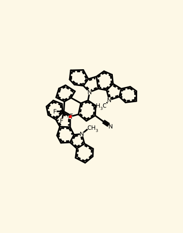 Cn1c2ccccc2c2ccc3c4ccccc4n(-c4cc(C#N)cc(-n5c6ccccc6c6ccc7c8ccccc8n(C)c7c65)c4-c4ccccc4C(F)(F)F)c3c21